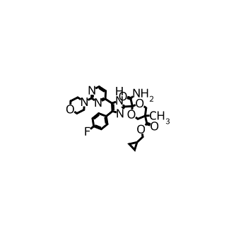 CC1(C(=O)OCC2CC2)COC(C(N)=O)(c2nc(-c3ccc(F)cc3)c(-c3ccnc(N4CCOCC4)n3)[nH]2)OC1